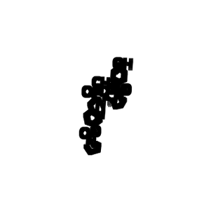 COC(=O)C(Cc1ccc(OC(=O)N2CCCC2)cc1)NC(=O)[C@@H]1CCCN1S(=O)(=O)c1ccc(O)cc1